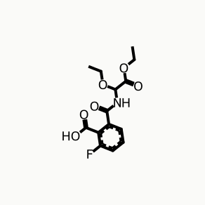 CCOC(=O)C(NC(=O)c1cccc(F)c1C(=O)O)OCC